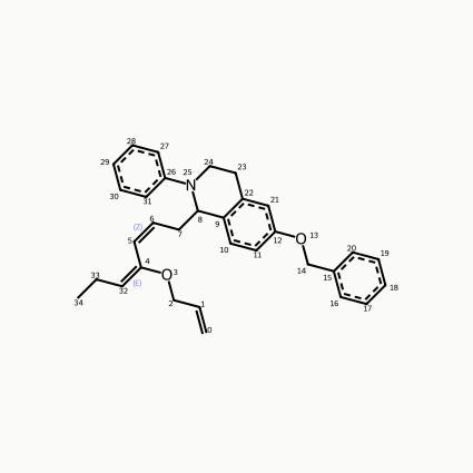 C=CCOC(/C=C\CC1c2ccc(OCc3ccccc3)cc2CCN1c1ccccc1)=C/CC